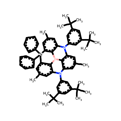 Cc1cc2c3c(c1)N(c1cc(C(C)(C)C)cc(C(C)(C)C)c1)c1cc(C)cc4c1B3c1c(cc(C)cc1[Si]4(c1ccccc1)c1ccccc1)N2c1cc(C(C)(C)C)cc(C(C)(C)C)c1